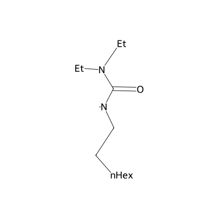 CCCCCCCC[N]C(=O)N(CC)CC